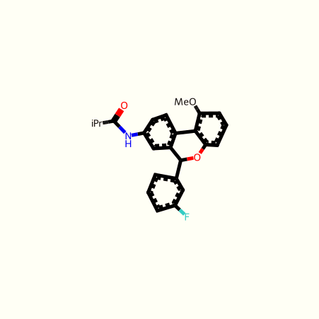 COc1cccc2c1-c1ccc(NC(=O)C(C)C)cc1C(c1cccc(F)c1)O2